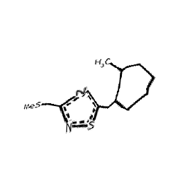 CSc1nsc(C2CCCCC2C)n1